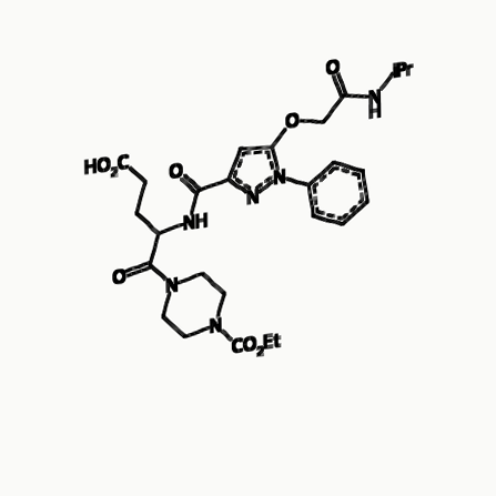 CCOC(=O)N1CCN(C(=O)C(CCC(=O)O)NC(=O)c2cc(OCC(=O)NC(C)C)n(-c3ccccc3)n2)CC1